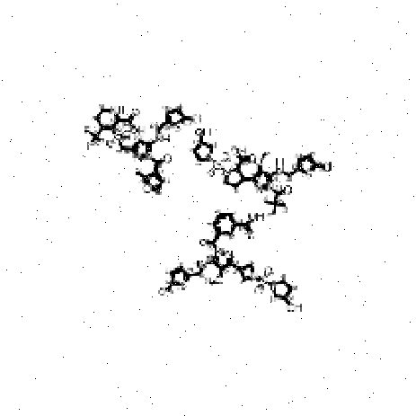 COc1c(C2CCN(S(=O)(=O)N3CCC(O)C3)C2C(=O)O)nn(C(=O)C(C)(C)C)c1NCc1ccc(Cl)s1.COc1c(C2CN(S(=O)(=O)N3CCC(O)C3)C2)nn(C(=O)c2cccc(C(=O)O)c2)c1NCc1ccc(Cl)s1.Cc1occc1C(=O)n1nc(CS(=O)(=O)C2C(C(=O)O)NCCC2C(F)(F)F)cc1NCc1ccc(Cl)s1